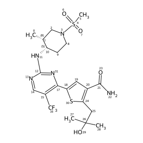 C[C@@H]1CN(S(C)(=O)=O)CC[C@@H]1Nc1ncc(C(F)(F)F)c(-c2cc(C(N)=O)c(CC(C)(C)O)s2)n1